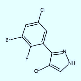 Fc1c(Br)cc(Cl)cc1-c1n[nH]cc1Cl